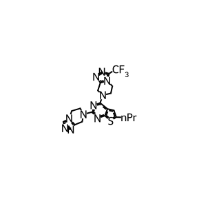 CCCc1cc2c(N3CCn4c(nnc4C(F)(F)F)C3)nc(N3CCn4cnnc4C3)nc2s1